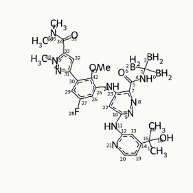 BC(B)(B)NC(=O)c1nnc(Nc2cc(C(C)(C)O)ccn2)cc1Nc1cc(F)cc(-c2cc(C(=O)N(C)C)n(C)n2)c1OC